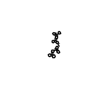 c1ccc(-n2c3ccccc3c3cc(-n4c5ccccc5c5cc(Sc6ccc7c(c6)c6ccccc6n7-c6cccc(-n7c8ccccc8c8ccccc87)c6)ccc54)ccc32)cc1